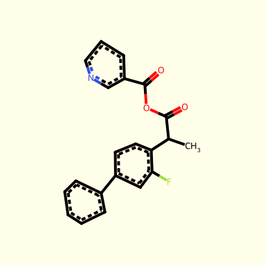 CC(C(=O)OC(=O)c1cccnc1)c1ccc(-c2ccccc2)cc1F